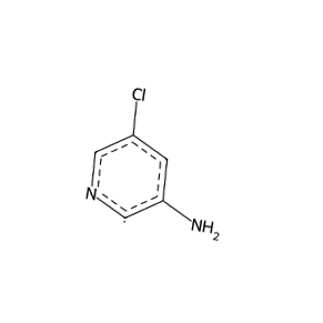 Nc1[c]ncc(Cl)c1